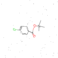 C[Si](C)(C)OC(=O)c1ccc(Cl)cc1